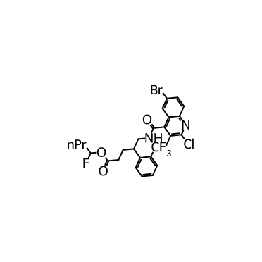 CCCC(F)OC(=O)CCC(CNC(=O)c1c(C)c(Cl)nc2ccc(Br)cc12)c1ccccc1C(F)(F)F